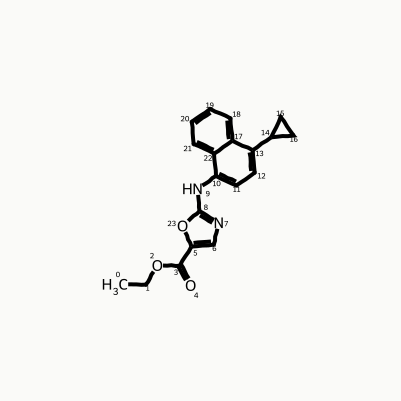 CCOC(=O)c1cnc(Nc2ccc(C3CC3)c3ccccc23)o1